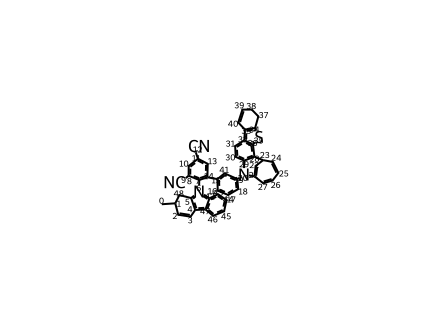 CC1C=Cc2c(n(-c3c(C#N)cc(C#N)cc3-c3cccc(N4C5=CC(C=CC=C5)c5c4ccc4c6c(sc54)CCC=C6)c3)c3ccccc23)C1